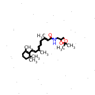 CC(C=CC1=C(C)CCCC1(C)C)=CC=CC(C)=CC(=O)NCC1COC(C)(C)O1